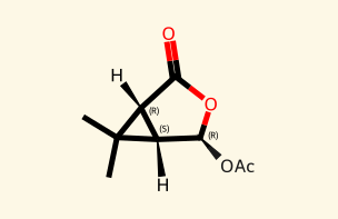 CC(=O)O[C@@H]1OC(=O)[C@@H]2[C@H]1C2(C)C